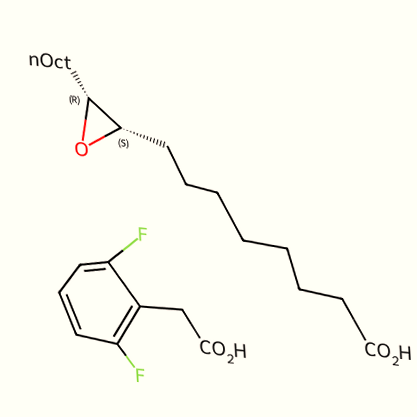 CCCCCCCC[C@H]1O[C@H]1CCCCCCCC(=O)O.O=C(O)Cc1c(F)cccc1F